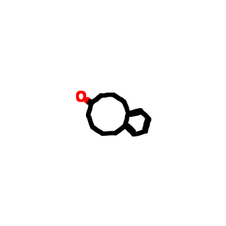 O=C1CCCCc2ccccc2CCC1